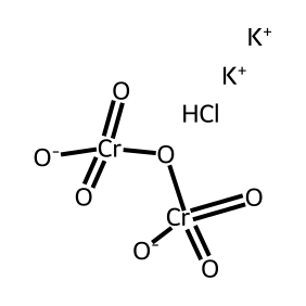 Cl.[K+].[K+].[O]=[Cr](=[O])([O-])[O][Cr](=[O])(=[O])[O-]